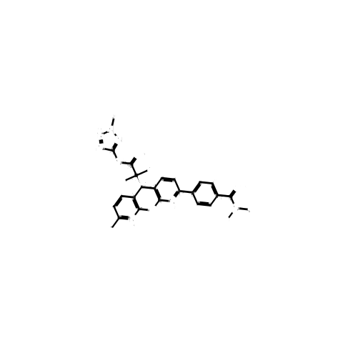 Cc1ccc2c(n1)Oc1nc(-c3ccc(C(=O)N(C)C)cc3)ccc1[C@@H]2C(C)(C)C(=O)Nc1nnn(C)n1